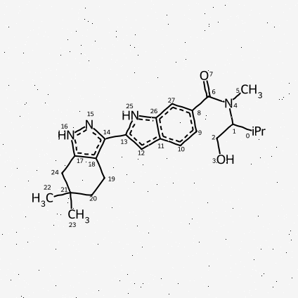 CC(C)C(CO)N(C)C(=O)c1ccc2cc(-c3n[nH]c4c3CCC(C)(C)C4)[nH]c2c1